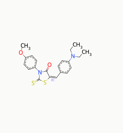 CCN(CC)c1ccc(/C=C2/SC(=S)N(c3ccc(OC)cc3)C2=O)cc1